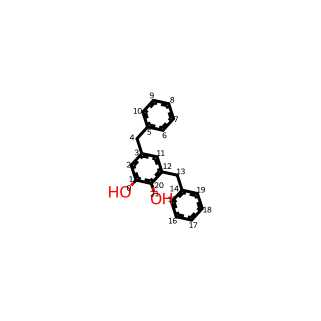 Oc1cc(Cc2ccccc2)cc(Cc2ccccc2)c1O